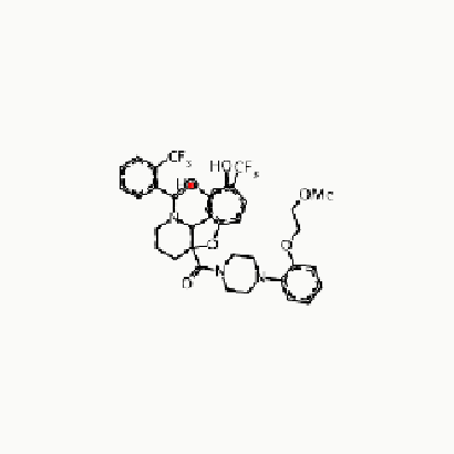 COCCOc1ccccc1N1CCN(C(=O)C2(Oc3ccc(C(F)(F)F)cc3)CCCN(C(=O)c3ccccc3C(F)(F)F)C2CC(O)CO)CC1